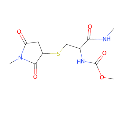 CNC(=O)C(CSC1CC(=O)N(C)C1=O)NC(=O)OC